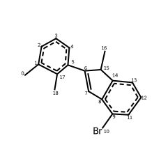 Cc1cccc(C2=Cc3c(Br)cccc3C2C)c1C